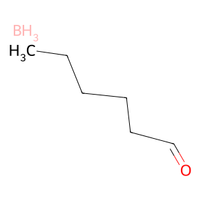 B.CCCCCC=O